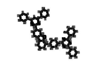 c1ccc(-c2cc(-c3ccccc3)nc(-c3ccc4c(c3)oc3c(-c5ccc(-c6nc(-c7ccccc7)nc(-c7ccccc7)n6)cc5)cccc34)n2)cc1